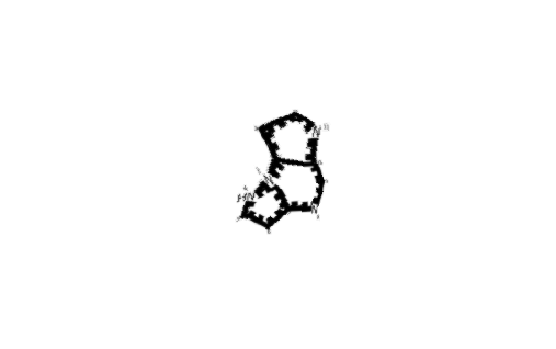 c1cc2n3[nH]ccc3ncc-2n1